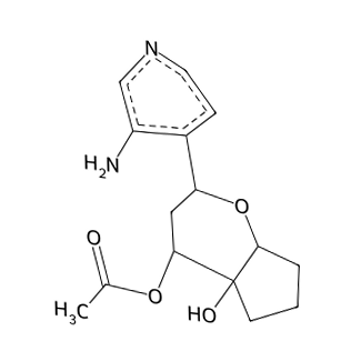 CC(=O)OC1CC(c2ccncc2N)OC2CCCC12O